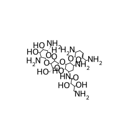 NCC1=CC[C@@H](N)[C@@H](O[C@H]2[C@H](O[C@@H]3O[C@H](CO)[C@@H](O[C@H]4O[C@@H](CN)[C@@H](O)[C@H](O)[C@H]4N)[C@H]3O)[C@@H](O)[C@H](NC(=O)[C@@H](O)[C@@H](O)CN)C[C@@H]2N)O1